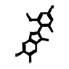 COc1cc(Cl)cc(C)c1-c1nc2nc(Cl)c(F)cc2n1C